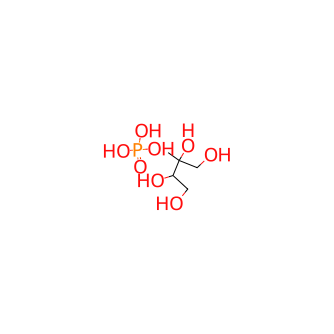 CC(O)(CO)C(O)CO.O=P(O)(O)O